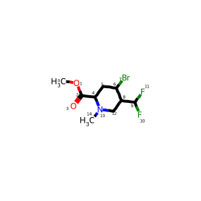 COC(=O)C1CC(Br)C(C(F)F)CN1C